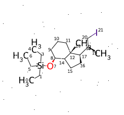 CC[Si](CC)(CC)O[C@H]1CCC[C@@]2(C)C1CC[C@@H]2[C@H](C)CI